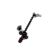 CC(C)(C)OC(=O)CCCCCCCCCCCCCCCCCCC(=O)OC(OC(C(=O)OC1CC2CCC(C1)[N+]21CCCC1)(c1ccccc1)c1ccccc1)c1ccccc1.O=C([O-])C(F)(F)F